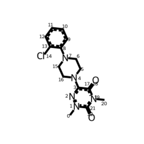 Cn1nc(N2CCN(c3ccccc3Cl)CC2)c(=O)n(C)c1=O